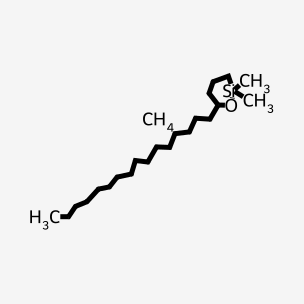 C.CCCCCCCCCCCCCCCCC1CCC[Si](C)(C)O1